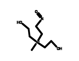 C[N+](CCO)(CCO)CCN=O